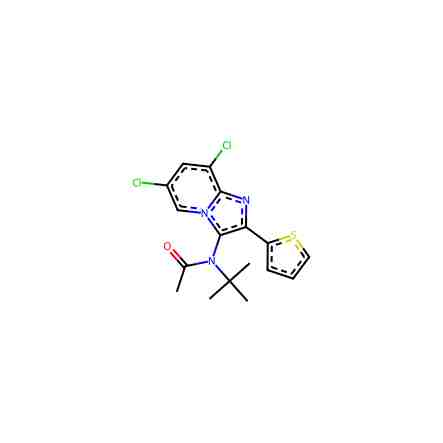 CC(=O)N(c1c(-c2cccs2)nc2c(Cl)cc(Cl)cn12)C(C)(C)C